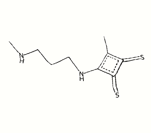 CNCCCNc1c(C)c(=S)c1=S